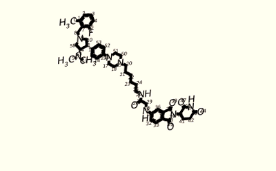 Cc1cccc(F)c1CN1C[C@H](c2ccc(N3CCN(CCCCCCNC(=O)CNc4ccc5c(c4)C(=O)N(C4CCC(=O)NC4=O)C5=O)CC3)cc2)[C@@H](N(C)C)C1